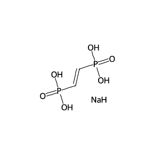 O=P(O)(O)C=CP(=O)(O)O.[NaH]